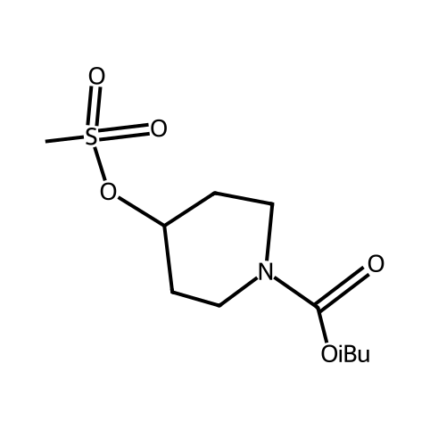 CC(C)COC(=O)N1CCC(OS(C)(=O)=O)CC1